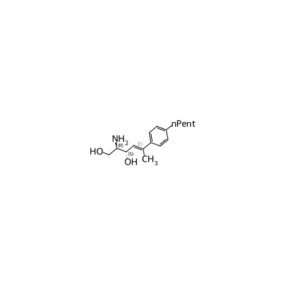 CCCCCc1ccc(/C(C)=C/[C@H](O)[C@H](N)CO)cc1